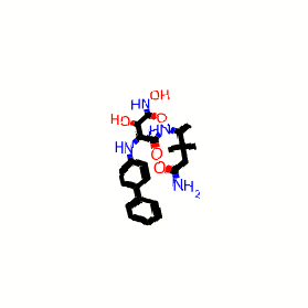 CC(NC(=O)C(Nc1ccc(-c2ccccc2)cc1)C(O)C(=O)NO)C(C)(C)CC(N)=O